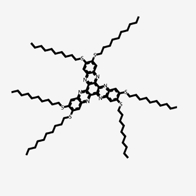 CCCCCCCCCCSc1cc2nc3c4nc5cc(SCCCCCCCCCC)c(SCCCCCCCCCC)cc5nc4c4nc5cc(SCCCCCCCCCC)c(SCCCCCCCCCC)cc5nc4c3nc2cc1SCCCCCCCCCC